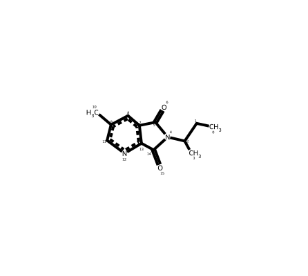 CCC(C)N1C(=O)c2cc(C)cnc2C1=O